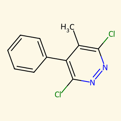 Cc1c(Cl)nnc(Cl)c1-c1ccccc1